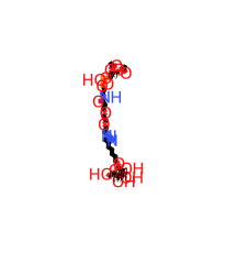 CC(=O)OC[C@H](COP(=O)(O)OCCNC(=O)CCOCCOCCn1cc(CCCCCOC2O[C@H](CO)[C@@H](O)[C@H](O)[C@@H]2O)nn1)OC(C)=O